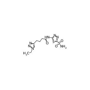 CCn1cc(CCCC(=O)Nc2nnc(S(N)(=O)=O)s2)nn1